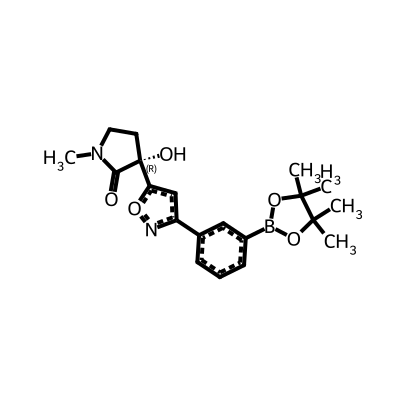 CN1CC[C@@](O)(c2cc(-c3cccc(B4OC(C)(C)C(C)(C)O4)c3)no2)C1=O